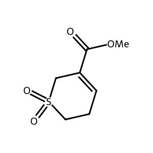 COC(=O)C1=CCCS(=O)(=O)C1